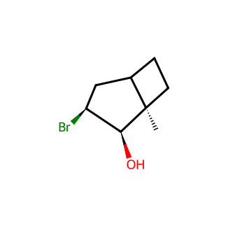 C[C@@]12CCC1C[C@H](Br)[C@@H]2O